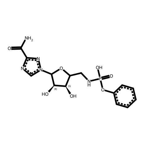 NC(=O)c1ncn(C2OC(CNP(=O)(O)Oc3ccccc3)[C@@H](O)[C@H]2O)n1